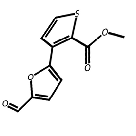 COC(=O)c1sccc1-c1ccc(C=O)o1